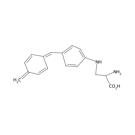 C=c1ccc(=Cc2ccc(NCC(N)C(=O)O)cc2)cc1